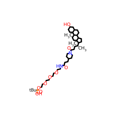 C[C@H](CCC(=O)N1CCC(CCC(=O)NCCOCCOCCOCCOP(=O)(O)C(C)(C)C)CC1)C1CCC2C3CCC4C[C@H](O)CC[C@]4(C)C3CC[C@@]21C